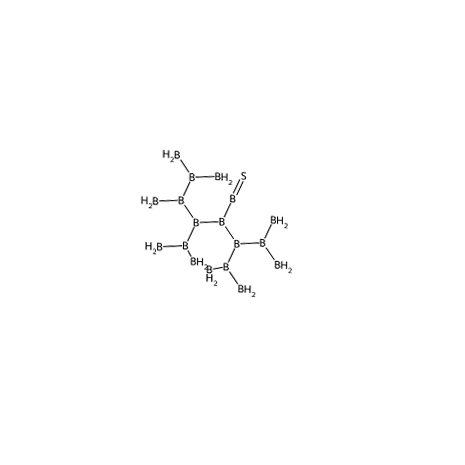 BB(B)B(B)B(B(B)B)B(B=S)B(B(B)B)B(B)B